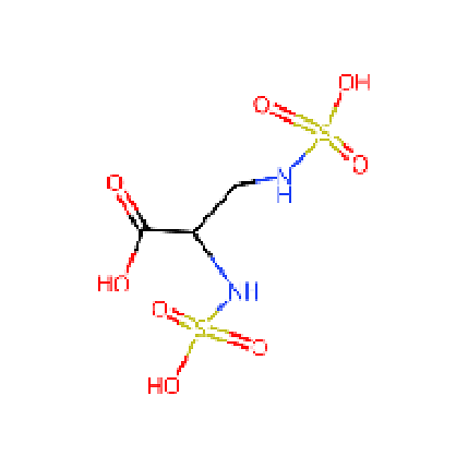 O=C(O)C(CNS(=O)(=O)O)NS(=O)(=O)O